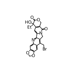 CC[C@@]1(O)C(=O)OCc2c1cc1n(c2=O)Cc2c-1nc1cc3c(cc1c2CBr)OCO3